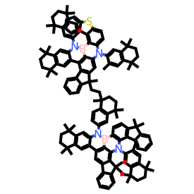 Cc1cc2c(cc1N1c3cc4c(c5c3B(c3c1ccc1sc6ccccc6c31)N(c1ccc3c(c1)C(C)(C)CCC3(C)C)c1cc3c(cc1-5)C(C)(C)CCC3(C)C)-c1ccccc1C4(C)CCC1(C)CCC(C)(C)c3cc(N4B5c6ccc7c(c6N(c6cc8c(cc6C)C(C)(C)CCC8(C)C)c6c5c(cc5c6C(C)(C)c6ccccc6-5)-c5cc6c(cc54)C(C)(C)CCC6(C)C)-c4ccccc4C7(C)C)ccc31)C(C)(C)CCC2(C)C